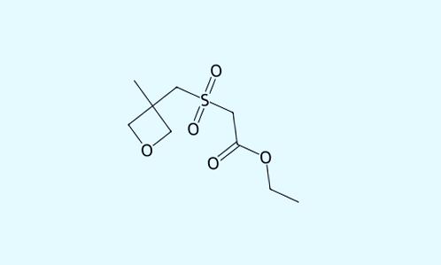 CCOC(=O)CS(=O)(=O)CC1(C)COC1